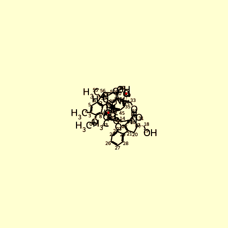 COc1c(C)cc2c(c1O)C1[C@@H]3[C@@H]4SC[C@]5(N[C@H](CO)Cc6c5oc5ccccc65)C(=O)OC[C@@H](c5c6c(c(C)c(OC(C)=O)c54)OCO6)N3C3(O)CN1C2(C)C3